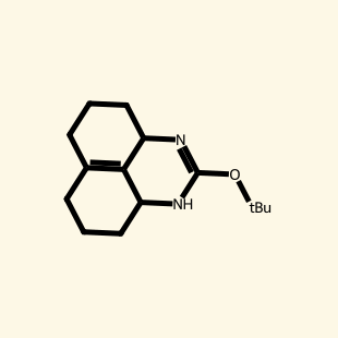 CC(C)(C)OC1=NC2CCCC3=C2C(CCC3)N1